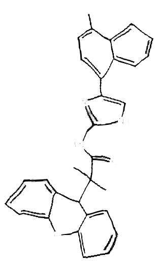 CC(C)(C(=O)Nc1nc(-c2ccc(F)c3ccccc23)c[nH]1)C1c2ccccc2Oc2ccccc21